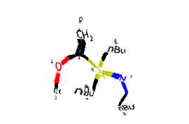 C=C(OCC)[SH](CCCC)(CCCC)=NCCCC